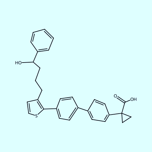 O=C(O)C1(c2ccc(-c3ccc(-c4sccc4CCCC(O)c4ccccc4)cc3)cc2)CC1